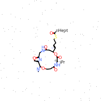 CCCCCCCC(=O)SCC/C=C/C1CC(=O)NCc2nc(co2)/C(=N/C)OCCC(=O)N[C@@H](C(C)C)C(=O)O1